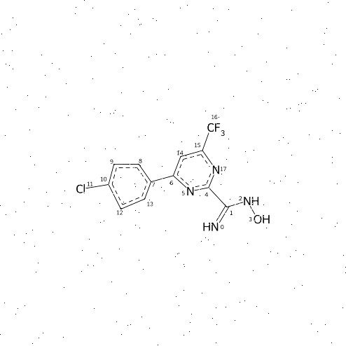 N=C(NO)c1nc(-c2ccc(Cl)cc2)cc(C(F)(F)F)n1